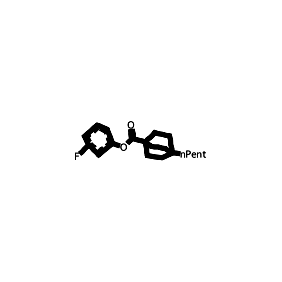 CCCCCC12CCC(C(=O)Oc3cccc(F)c3)(CC1)CC2